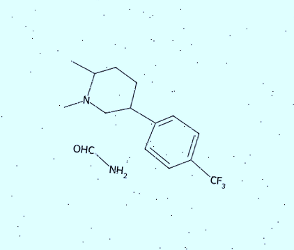 CC1CCC(c2ccc(C(F)(F)F)cc2)CN1C.NC=O